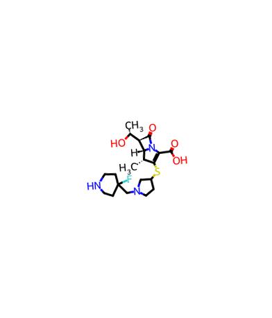 C[C@@H](O)[C@H]1C(=O)N2C(C(=O)O)=C(SC3CCN(CC4(F)CCNCC4)C3)[C@H](C)[C@H]12